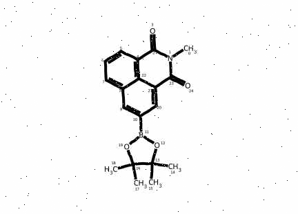 CN1C(=O)c2cccc3cc(B4OC(C)(C)C(C)(C)O4)cc(c23)C1=O